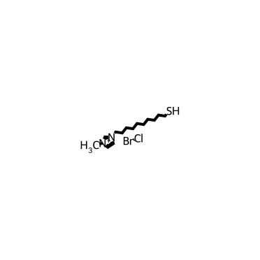 C[n+]1ccn(CCCCCCCCCCS)c1.ClBr